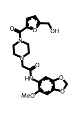 COc1cc2c(cc1NC(=O)CN1CCN(C(=O)c3ccc(CO)o3)CC1)OCO2